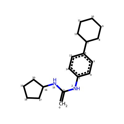 C=C(Nc1ccc(C2CCCCC2)cc1)NC1CCCC1